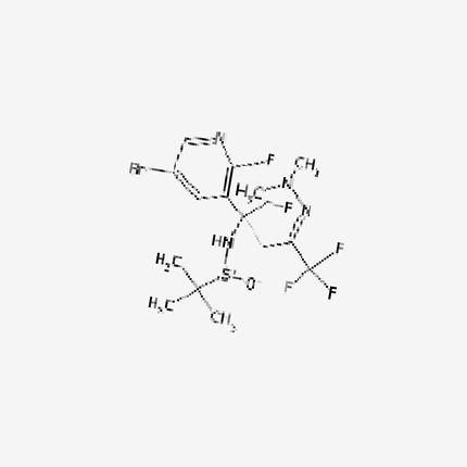 CN(C)/N=C(\C[C@](CF)(N[S+]([O-])C(C)(C)C)c1cc(Br)cnc1F)C(F)(F)F